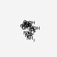 Nc1nc(F)nn2c([C@@H]3O[C@@]4(COP(=O)(O)OP(=O)(O)OP(=O)(O)O)C[C@]4(O)[C@H]3F)ccc12